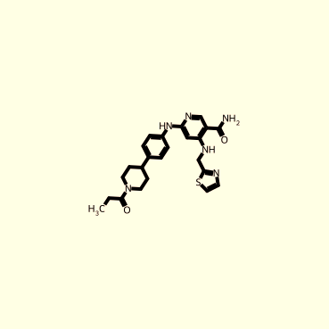 CCC(=O)N1CCC(c2ccc(Nc3cc(NCc4nccs4)c(C(N)=O)cn3)cc2)CC1